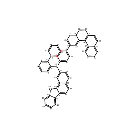 c1ccc(-c2ccccc2N(c2ccc(-c3ccc4ccc5ccc6ccccc6c5c4c3)cc2)c2ccc3ccc4c5ccccc5oc4c3c2)cc1